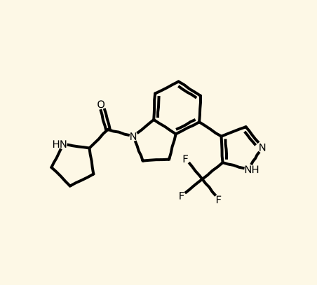 O=C(C1CCCN1)N1CCc2c(-c3cn[nH]c3C(F)(F)F)cccc21